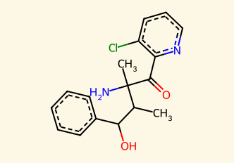 CC(C(O)c1ccccc1)C(C)(N)C(=O)c1ncccc1Cl